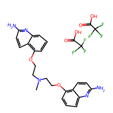 CN(CCOc1cccc2nc(N)ccc12)CCOc1cccc2nc(N)ccc12.O=C(O)C(F)(F)F.O=C(O)C(F)(F)F